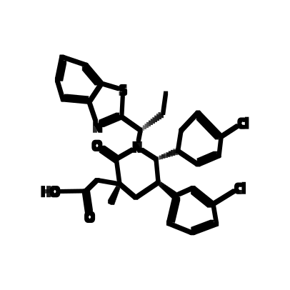 CC[C@@H](c1nc2ccccc2s1)N1C(=O)[C@@](C)(CC(=O)O)C[C@H](c2cccc(Cl)c2)[C@H]1C1C=CC(Cl)=CC1